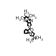 Cc1nc2c3c(nn2c(C)c1C)CN(C(=O)c1ccccc1N1CCC(N(C)C)C1)C3